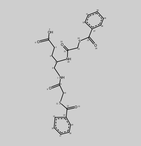 O=C(O)CCC(CNC(=O)CSC(=O)c1ccccc1)NC(=O)CSC(=O)c1ccccc1